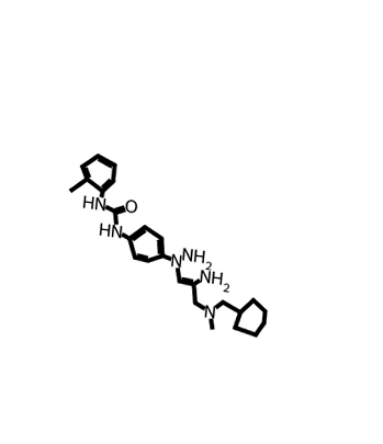 Cc1ccccc1NC(=O)Nc1ccc(N(N)/C=C(\N)CN(C)CC2CCCCC2)cc1